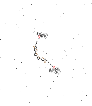 CC(C)(C)[Si](C)(C)OCCCCCCc1cc2sc(-c3ccc(-c4ccc(-c5cc6sc(CCCCCCO[Si](C)(C)C(C)(C)C)cc6s5)s4)s3)cc2s1